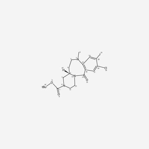 CN1CC[C@H]2CN(C(=O)OC(C)(C)C)CCN2C(=O)c2cc(Cl)c(I)cc21